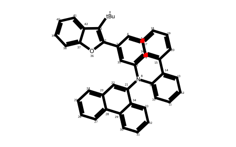 CC(C)(C)c1c(-c2cccc(N(c3ccccc3-c3ccccc3)c3cc4ccccc4c4ccccc34)c2)oc2ccccc12